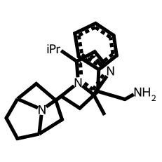 Cc1ncc(C(C)C)n1C1CC2CCC(C1)N2CCC(CN)c1ccccc1